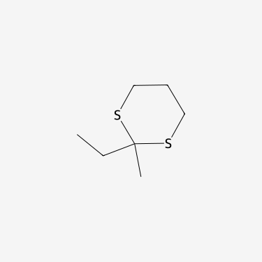 CCC1(C)SCCCS1